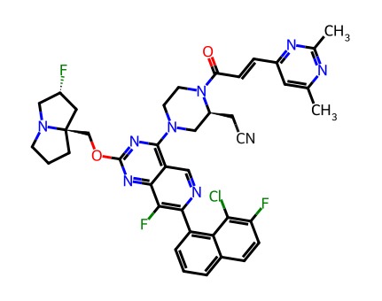 Cc1cc(/C=C/C(=O)N2CCN(c3nc(OC[C@@]45CCCN4C[C@H](F)C5)nc4c(F)c(-c5cccc6ccc(F)c(Cl)c56)ncc34)C[C@@H]2CC#N)nc(C)n1